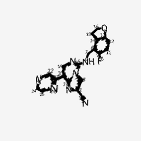 N#Cc1cn2c(NCc3c(F)ccc4c3CCO4)ncc(-c3cnccn3)c2n1